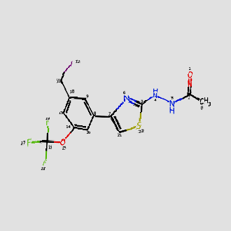 CC(=O)NNc1nc(-c2cc(CI)cc(OC(F)(F)F)c2)cs1